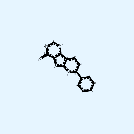 O=c1[nH]cnc2c1sc1nc(-c3ccccc3)ccc12